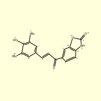 CC(C)(C)c1cc(C=CC(=O)c2ccc3[nH]c(=O)oc3c2)cc(C(C)(C)C)c1O